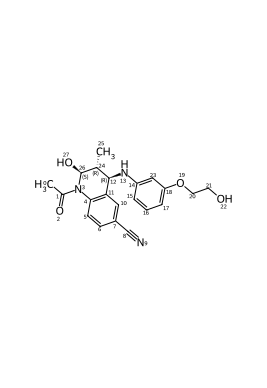 CC(=O)N1c2ccc(C#N)cc2[C@H](Nc2cccc(OCCO)c2)[C@@H](C)[C@@H]1O